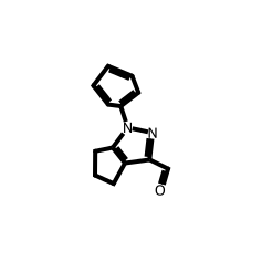 O=Cc1nn(-c2ccccc2)c2c1CCC2